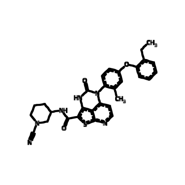 CCc1ccccc1Oc1ccc(N2C(=O)Nc3c(C(=O)NC4CCCN(C#N)C4)sc4nccc2c34)c(C)c1